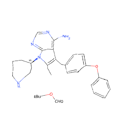 CC(C)(C)OC=O.Cc1c(-c2ccc(Oc3ccccc3)cc2)c2c(N)ncnc2n1[C@@H]1CCCNC1